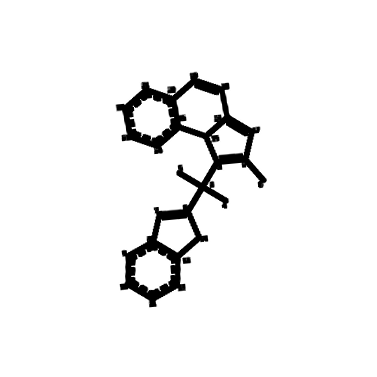 CC1=C(C(C)(C)C2=Cc3ccccc3C2)C2C(=C1)C=Cc1ccccc12